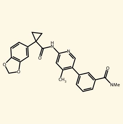 CNC(=O)c1cccc(-c2cnc(NC(=O)C3(c4ccc5c(c4)OCO5)CC3)cc2C)c1